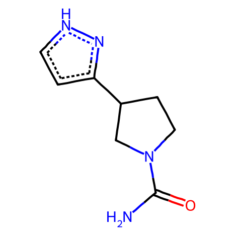 NC(=O)N1CCC(c2cc[nH]n2)C1